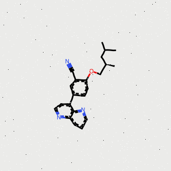 CC(C)C[C@@H](C)COc1ccc(-c2ccnc3cccnc23)cc1C#N